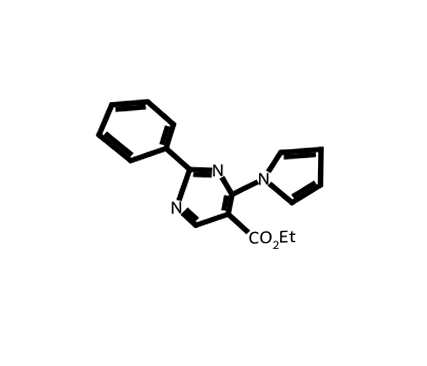 CCOC(=O)c1cnc(-c2ccccc2)nc1-n1cccc1